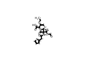 CCOC1=CS[C@@H]2N(C(=O)C2(NC(=O)Cc2cccs2)C(=S)SC=O)C1C(=O)O